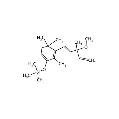 C=CC(C)(C=CC1=C(C)C(O[Si](C)(C)C)=CCC1(C)C)OC